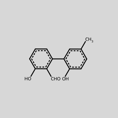 Cc1ccc(O)c(-c2cccc(O)c2C=O)c1